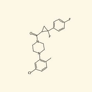 Cc1ccc(Cl)cc1N1CCN(C(=O)C2CC2(F)c2ccc(F)cc2)CC1